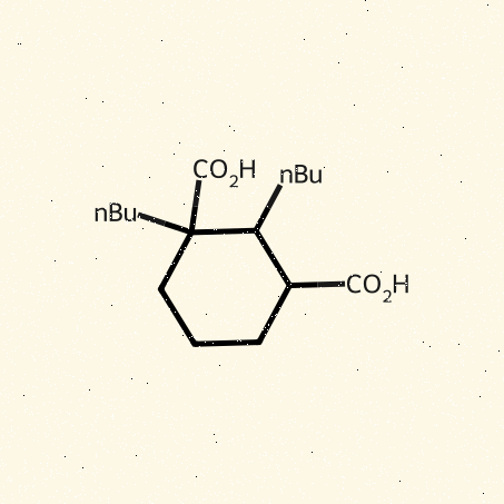 CCCCC1C(C(=O)O)CCCC1(CCCC)C(=O)O